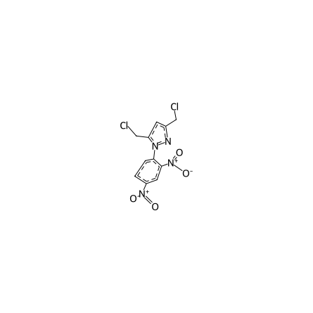 O=[N+]([O-])c1ccc(-n2nc(CCl)cc2CCl)c([N+](=O)[O-])c1